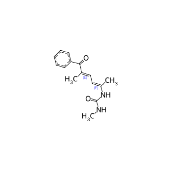 CNC(=O)N/C(C)=C/C=C(\C)C(=O)c1ccccc1